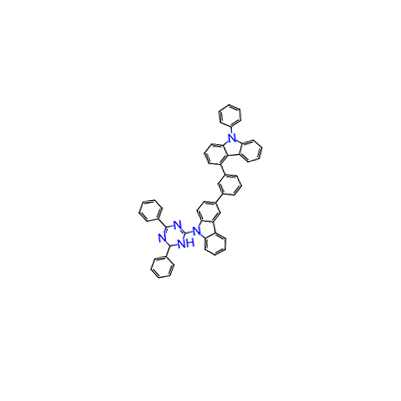 c1ccc(C2=NC(c3ccccc3)NC(n3c4ccccc4c4cc(-c5cccc(-c6cccc7c6c6ccccc6n7-c6ccccc6)c5)ccc43)=N2)cc1